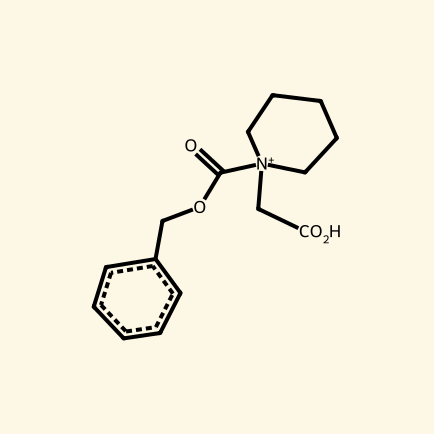 O=C(O)C[N+]1(C(=O)OCc2ccccc2)CCCCC1